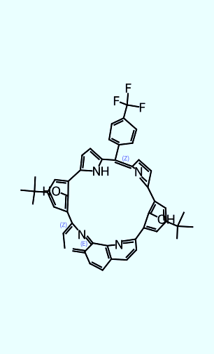 C=c1ccc2ccc3nc2/c1=N/C(=C\C)c1cc(C(C)(C)C)cc(c1O)-c1ccc([nH]1)/C(c1ccc(C(F)(F)F)cc1)=C1/C=CC(=N1)c1cc(C(C)(C)C)cc-3c1O